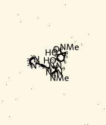 CNC(=O)C12CC1CC(n1cnc3c(NC)nc(C#Cc4ncccn4)nc31)=C(O)[C@@H]2O